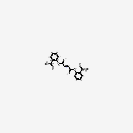 O=C(/C=C/C(=O)Oc1ccccc1C(=O)O)Oc1ccccc1C(=O)O